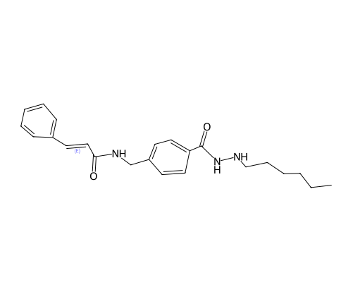 CCCCCCNNC(=O)c1ccc(CNC(=O)/C=C/c2ccccc2)cc1